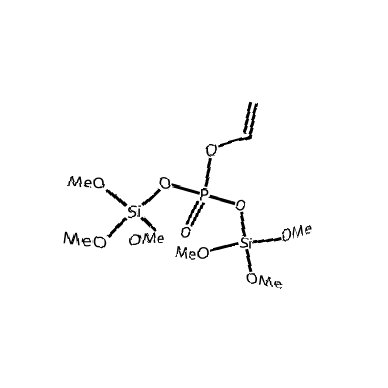 C=COP(=O)(O[Si](OC)(OC)OC)O[Si](OC)(OC)OC